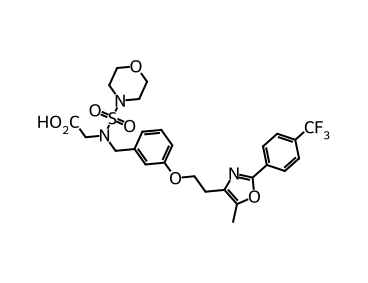 Cc1oc(-c2ccc(C(F)(F)F)cc2)nc1CCOc1cccc(CN(CC(=O)O)S(=O)(=O)N2CCOCC2)c1